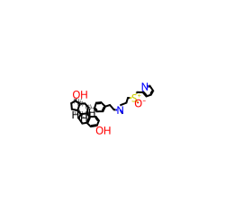 CN(CCC[S+]([O-])Cc1ccccn1)CCc1ccc([C@H]2C[C@]3(C)[C@@H](O)CC[C@H]3[C@@H]3CCc4cc(O)ccc4[C@H]32)cc1